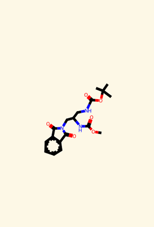 COC(=O)NC(CNC(=O)OC(C)(C)C)CN1C(=O)c2ccccc2C1=O